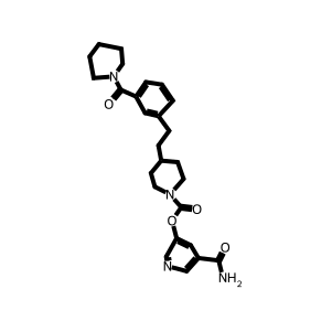 NC(=O)c1cncc(OC(=O)N2CCC(CCc3cccc(C(=O)N4CCCCC4)c3)CC2)c1